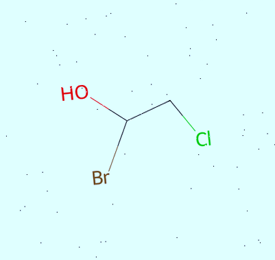 OC(Br)CCl